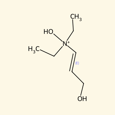 CC[N+](O)(/C=C/CO)CC